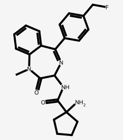 CN1C(=O)C(NC(=O)C2(N)CCCC2)N=C(c2ccc(CF)cc2)c2ccccc21